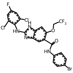 O=C(Nc1ccc(Br)cc1)c1cc2nc(Nc3c(Cl)cc(F)cc3Cl)[nH]c2cc1OCC(F)(F)F